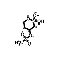 CS(=O)(=O)OC1CCOS(O)(O)C1